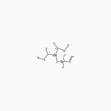 C=C[Si](C)(C)CN(C(C)CC)C(C)CC